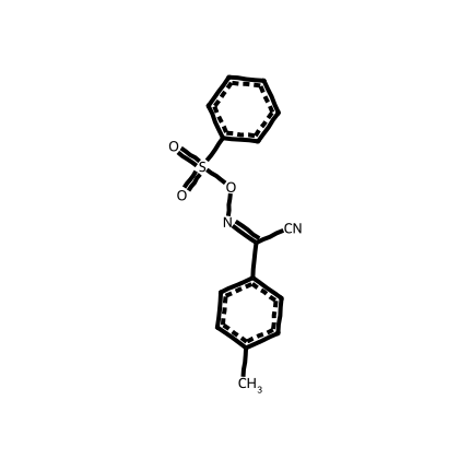 Cc1ccc(C(C#N)=NOS(=O)(=O)c2ccccc2)cc1